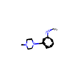 CC(C)Nc1cccc(N2CCN(C)CC2)c1